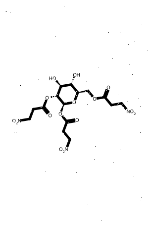 O=C(CC[N+](=O)[O-])OC[C@H]1O[C@@H](OC(=O)CC[N+](=O)[O-])[C@H](OC(=O)CC[N+](=O)[O-])[C@@H](O)[C@@H]1O